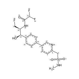 CNS(=O)(=O)Cc1ccc(-c2ccc([C@@H](O)[C@@H](CF)NC(=O)C(F)F)cc2)cn1